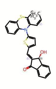 C/C=C\C1=C(C)Sc2ccccc2N1c1ccc(/C=C2/C(=O)c3ccccc3[C@@H]2O)s1